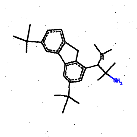 C[SiH](C)C(c1cc(C(C)(C)C)cc2c1Cc1ccc(C(C)(C)C)cc1-2)C(C)(C)N